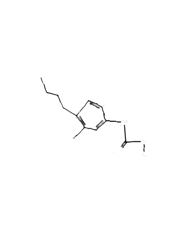 CCCCc1ccc(NC(=O)NN)cc1Cl